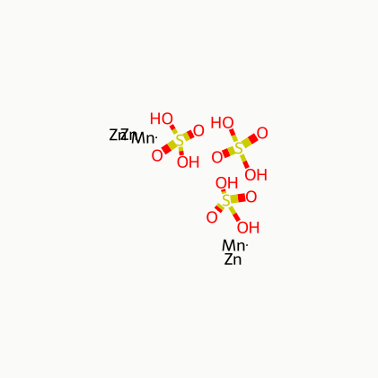 O=S(=O)(O)O.O=S(=O)(O)O.O=S(=O)(O)O.[Mn].[Mn].[Zn].[Zn].[Zn]